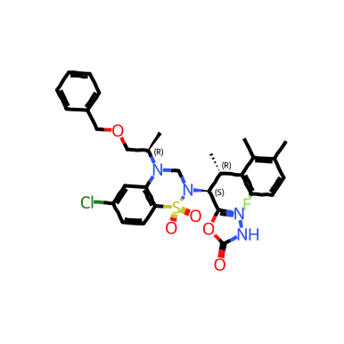 Cc1ccc(F)c([C@@H](C)[C@@H](c2n[nH]c(=O)o2)N2CN([C@H](C)COCc3ccccc3)c3cc(Cl)ccc3S2(=O)=O)c1C